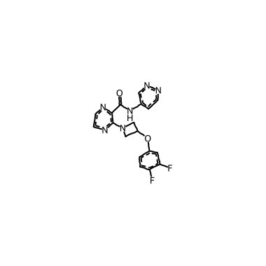 O=C(Nc1ccnnc1)c1nccnc1N1CC(Oc2ccc(F)c(F)c2)C1